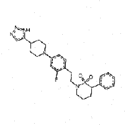 O=S1(=O)C(c2ccccc2)CCCN1CCc1ccc(N2CCC(c3cnn[nH]3)CC2)cc1F